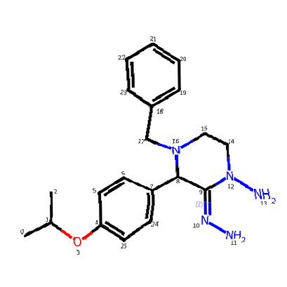 CC(C)Oc1ccc(C2/C(=N/N)N(N)CCN2Cc2ccccc2)cc1